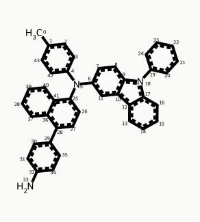 Cc1ccc(N(c2ccc3c(c2)c2ccccc2n3-c2ccccc2)c2ccc(-c3ccc(N)cc3)c3ccccc23)cc1